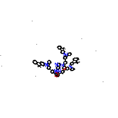 CC1(C)c2ccccc2-c2ccc(-n3c4ccccc4c4cc(-c5ccc6c7ccccc7n(-c7cc8nccc(-n9c%10ccccc%10c%10ccc(-c%11ccc%12c(c%11)c%11ccccc%11n%12-c%11ccc%12c(c%11)C(C)(C)c%11ccccc%11-%12)cc%109)c8cc7-n7c8ccccc8c8ccc(-c9ccc%10c(c9)c9ccccc9n%10-c9ccc%10c(c9)C(C)(C)c9ccccc9-%10)cc87)c6c5)ccc43)cc21